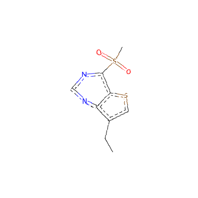 CCc1csc2c(S(C)(=O)=O)ncnc12